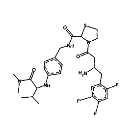 CC(C)C(Nc1ccc(CNC(=O)C2SCCN2C(=O)CC(N)Cc2cc(F)c(F)cc2F)cc1)C(=O)N(C)C